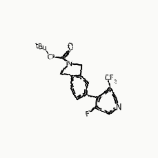 CC(C)(C)OC(=O)N1Cc2ccc(-c3c(F)cncc3C(F)(F)F)cc2C1